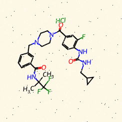 CC(C)(NC(=O)c1cccc(CN2CCN(C(=O)c3ccc(NC(=O)NCC4CC4)c(F)c3)CC2)c1)C(F)(F)F.Cl